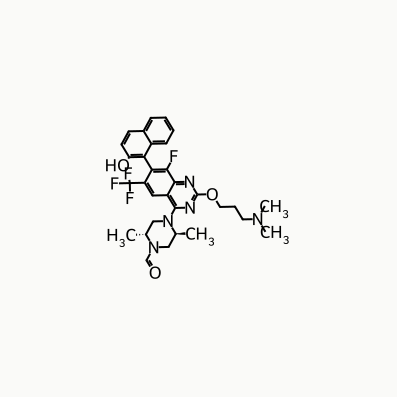 C[C@@H]1CN(c2nc(OCCCN(C)C)nc3c(F)c(-c4c(O)ccc5ccccc45)c(C(F)(F)F)cc23)[C@@H](C)CN1C=O